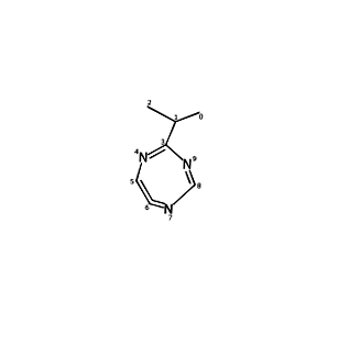 CC(C)C1=NC=C=NC=N1